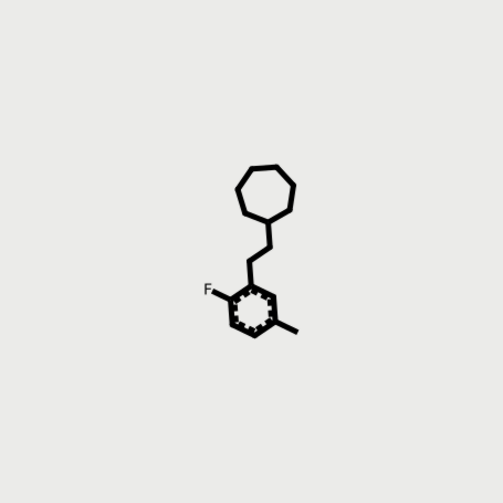 Cc1ccc(F)c(CCC2CCCCCC2)c1